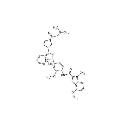 COc1cc(C2=NC(C3CCN(C(=O)CN(C)C)C3)=C3C=NC=C[N+]23C)ccc1NC(=O)c1cc2c(OC)cccc2n1C